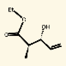 C=C[C@@H](O)[C@@H](C)C(=O)OCC